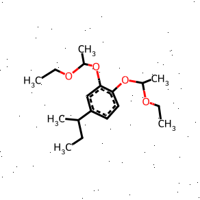 CCOC(C)Oc1ccc(C(C)CC)cc1OC(C)OCC